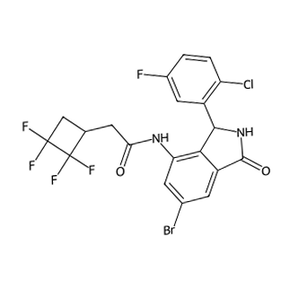 O=C(CC1CC(F)(F)C1(F)F)Nc1cc(Br)cc2c1C(c1cc(F)ccc1Cl)NC2=O